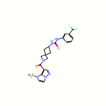 Cn1ccn2ncc(C(=O)N3CC4(CC(NC(=O)Nc5cccc(C(F)F)c5)C4)C3)c12